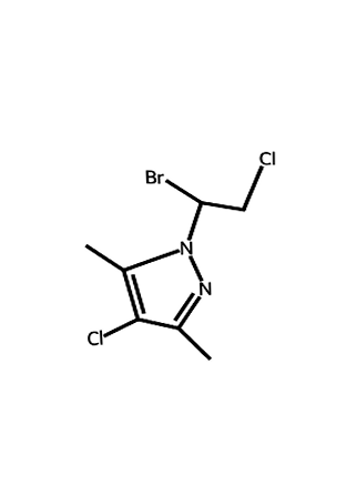 Cc1nn(C(Br)CCl)c(C)c1Cl